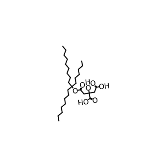 CCCCCCCCCC(CCCCCC)(CCCCCCCC)OC(=O)CC(O)(CC(=O)O)C(=O)O